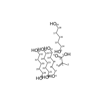 C=C(C)C(=O)O.OCCCCCO.OCCCCCO.OCCCCCO.OCCCCCO